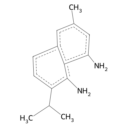 Cc1cc(N)c2c(N)c(C(C)C)ccc2c1